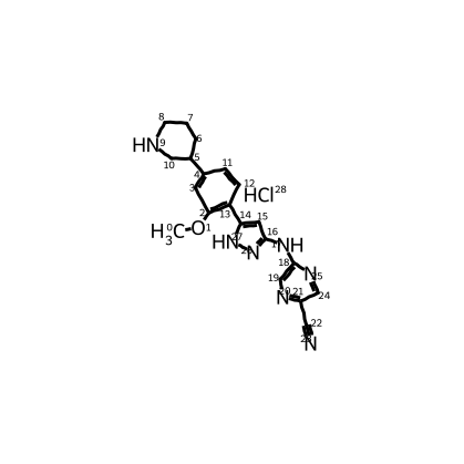 COc1cc(C2CCCNC2)ccc1-c1cc(Nc2cnc(C#N)cn2)n[nH]1.Cl